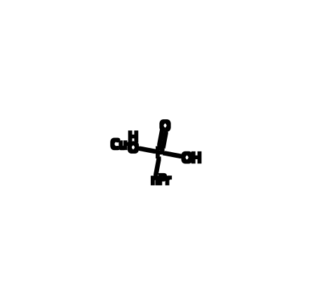 CCCP(=O)(O)O.[Cu]